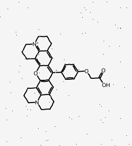 O=C(O)COc1ccc(C2=c3cc4c5c(c3Oc3c2cc2c6c3CCCN6CCC2)CCC[N+]=5CCC4)cc1